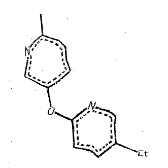 CCc1ccc(Oc2ccc(C)nc2)nc1